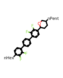 CCCCCCc1ccc(-c2ccc(-c3ccc(C4CCC(CCCCC)CO4)c(F)c3F)cc2)c(F)c1F